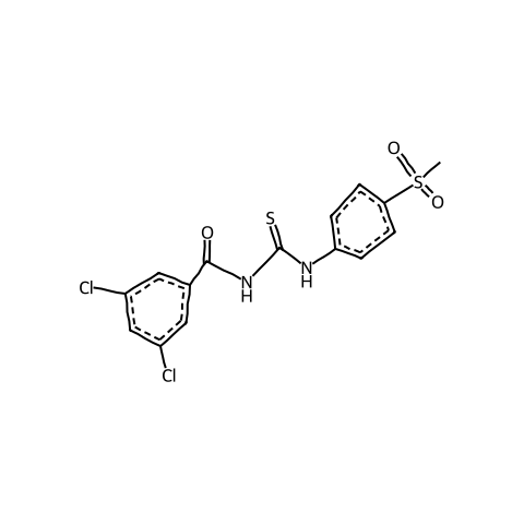 CS(=O)(=O)c1ccc(NC(=S)NC(=O)c2cc(Cl)cc(Cl)c2)cc1